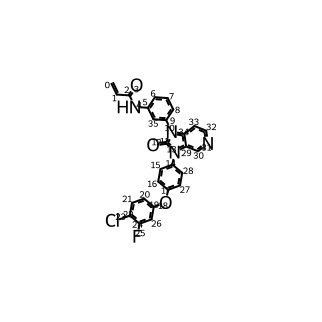 C=CC(=O)Nc1cccc(-n2c(=O)n(-c3ccc(Oc4ccc(Cl)c(F)c4)cc3)c3cnccc32)c1